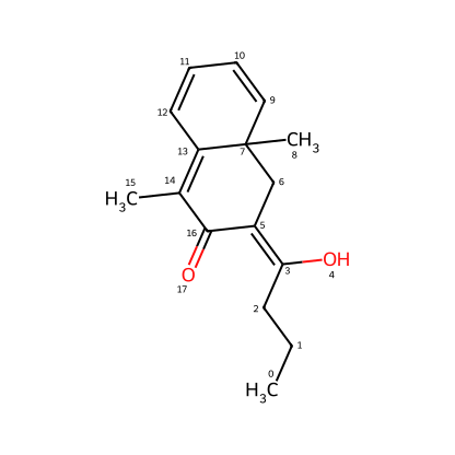 CCCC(O)=C1CC2(C)C=CC=CC2=C(C)C1=O